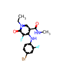 CCn1cc(C(=O)NC)c(Nc2ccc(Br)cc2F)c(F)c1=O